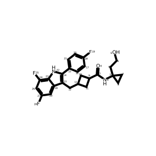 O=C(NC1(CCO)CC1)C1CC(Cc2c(-c3ccc(F)cc3)[nH]c3c(F)cc(F)cc23)C1